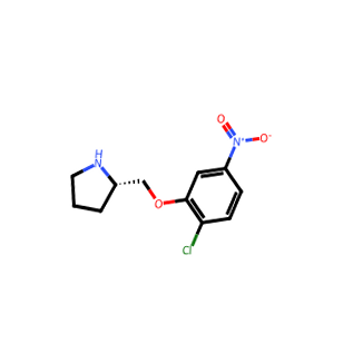 O=[N+]([O-])c1ccc(Cl)c(OC[C@@H]2CCCN2)c1